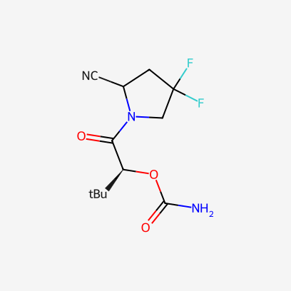 CC(C)(C)[C@H](OC(N)=O)C(=O)N1CC(F)(F)CC1C#N